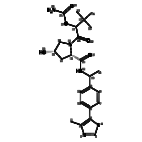 Cc1ncsc1-c1ccc(C(C)NC(=O)[C@@H]2C[C@H](O)CN2C(=O)C(OC(N)=O)C(C)(C)C)cc1